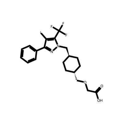 O=C(O)COC[C@H]1CC[C@H](Cn2nc(-c3ccccc3)c(I)c2C(F)(F)F)CC1